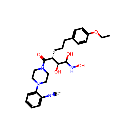 [C-]#[N+]c1ccccc1N1CCN(C(=O)[C@H](CCCc2ccc(OCC)cc2)[C@H](O)C(O)NO)CC1